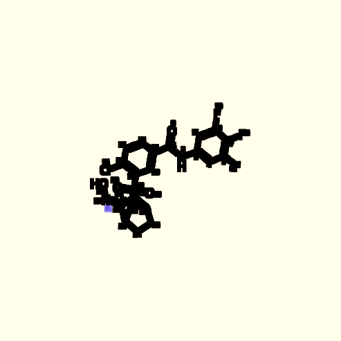 O=C(Nc1cc(F)c(F)c(F)c1)c1ccc(Cl)c(S(=O)(=O)[C@@H]2C3CCC2/C(=N/O)C3)c1